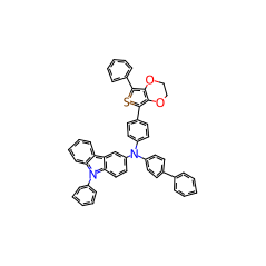 c1ccc(-c2ccc(N(c3ccc(-c4sc(-c5ccccc5)c5c4OCCO5)cc3)c3ccc4c(c3)c3ccccc3n4-c3ccccc3)cc2)cc1